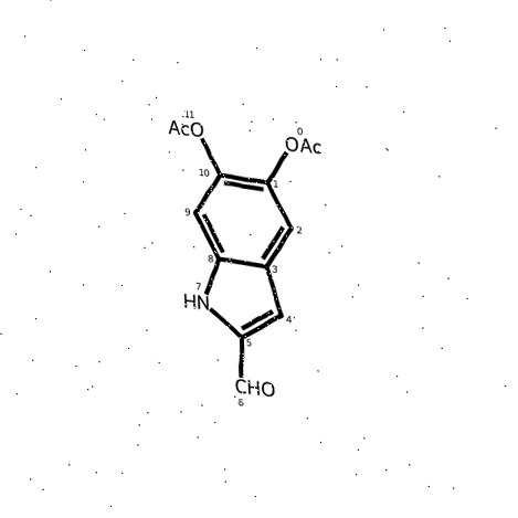 CC(=O)Oc1cc2cc(C=O)[nH]c2cc1OC(C)=O